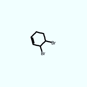 BrC1C=CCCC1Br